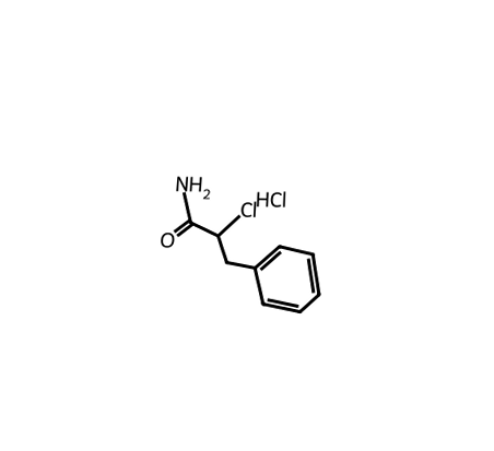 Cl.NC(=O)C(Cl)Cc1ccccc1